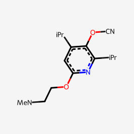 CNCCOc1cc(C(C)C)c(OC#N)c(C(C)C)n1